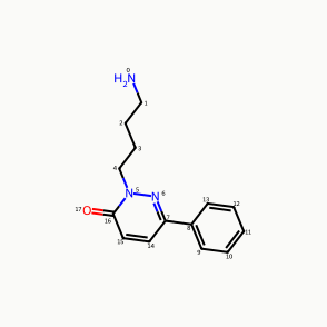 NCCCCn1nc(-c2ccccc2)ccc1=O